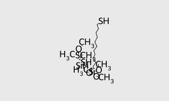 CCO[Si](C)(C)CS.CO[Si](CCCCCCCCCCCS)(OC)OC.[SiH4]